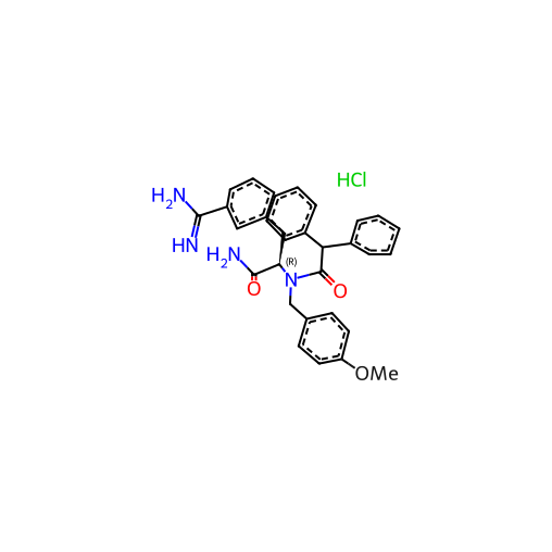 COc1ccc(CN(C(=O)C(c2ccccc2)c2ccccc2)[C@H](Cc2cccc(C(=N)N)c2)C(N)=O)cc1.Cl